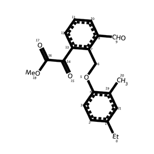 CCc1ccc(OCc2c(C=O)cccc2C(=O)C(=O)OC)c(C)c1